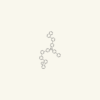 c1ccc(-c2ccc(N(c3ccc(-c4cccc(-c5cccc(-c6cccc7c6oc6ccccc67)c5)c4)cc3)c3ccc(-c4cccc(-c5cccc6ccccc56)c4)cc3)cc2)cc1